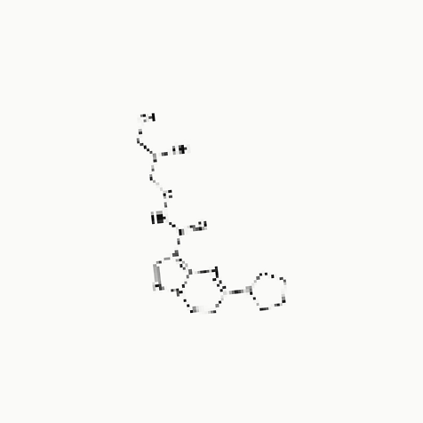 O=C(NOCC(O)CO)c1cnn2ccc(N3CCCC3)nc12